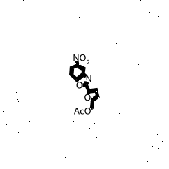 CC(=O)OCc1ccc(-c2nc3cc([N+](=O)[O-])ccc3o2)o1